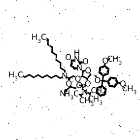 CCCCCCCCCCN(CCCCCCCCCC)C(=O)COC1C(OP(OCCC#N)N(C(C)C)C(C)C)[C@@H](COC(c2ccccc2)(c2ccc(OC)cc2)c2ccc(OC)cc2)O[C@H]1n1ccc(=O)[nH]c1=O